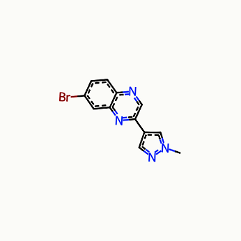 Cn1cc(-c2cnc3ccc(Br)cc3n2)cn1